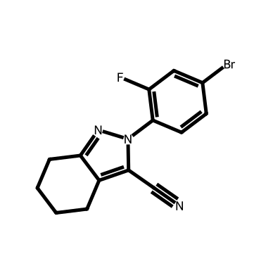 N#Cc1c2c(nn1-c1ccc(Br)cc1F)CCCC2